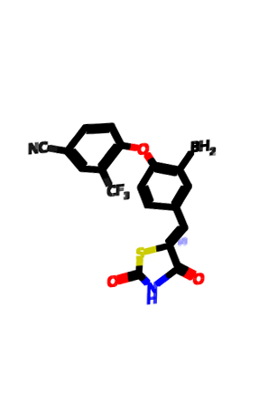 Bc1cc(/C=C2\SC(=O)NC2=O)ccc1Oc1ccc(C#N)cc1C(F)(F)F